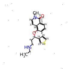 CCNCC[C@@H](Oc1cccc2c(=O)n(C)ccc12)c1ccsc1